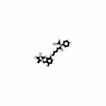 C=c1c(=O)[nH]c2n1Cc1c(C)ccc(OCCCCC(=O)N(C(C)O)C3CCCCC3)c1N=2